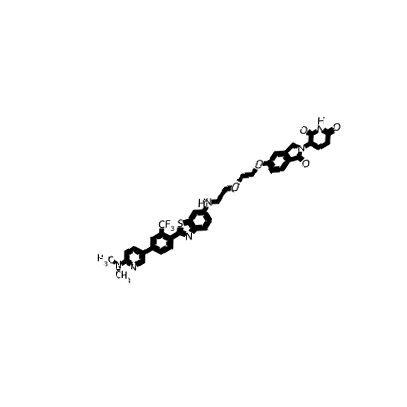 CN(C)c1ccc(-c2ccc(-c3nc4ccc(NCCOCCOc5ccc6c(c5)CN(C5CCC(=O)NC5=O)C6=O)cc4s3)c(C(F)(F)F)c2)cn1